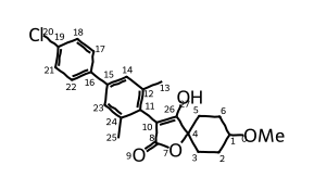 COC1CCC2(CC1)OC(=O)C(c1c(C)cc(-c3ccc(Cl)cc3)cc1C)=C2O